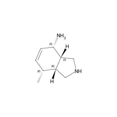 C[C@@H]1C=C[C@H](N)[C@@H]2CNC[C@@H]21